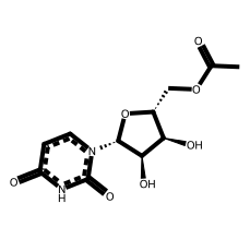 CC(=O)OC[C@H]1O[C@@H](n2ccc(=O)[nH]c2=O)[C@H](O)[C@@H]1O